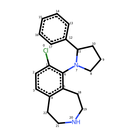 Clc1ccc2c(c1N1CCCC1c1ccccc1)CCNCC2